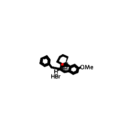 Br.COc1ccc2c(c1)[C@@]13CCCC[C@H]1[C@@H](C2)N(Cc1ccccc1)CC3